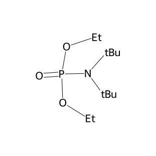 CCOP(=O)(OCC)N(C(C)(C)C)C(C)(C)C